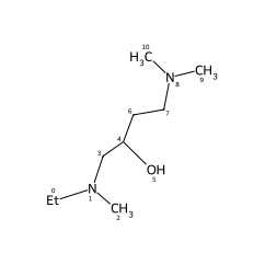 CCN(C)CC(O)CCN(C)C